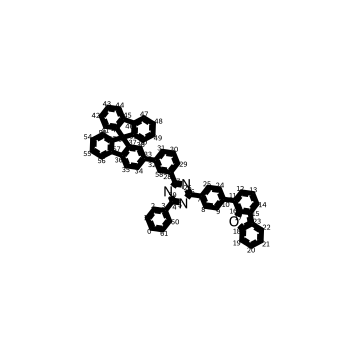 c1ccc(-c2nc(-c3ccc(-c4cccc5c4oc4ccccc45)cc3)nc(-c3cccc(-c4ccc5c(c4)C4(c6ccccc6-c6ccccc64)c4ccccc4-5)c3)n2)cc1